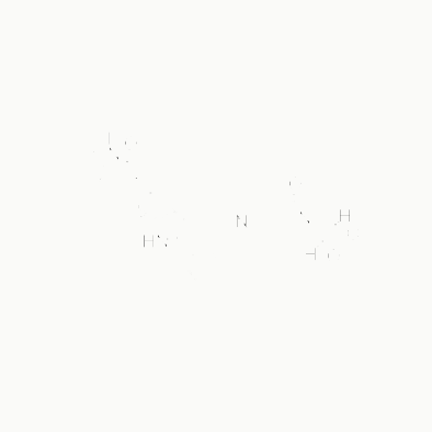 Cc1cc(C)cc(-c2[nH]c3sc(C(C)(C)C(=O)C4C5CCC4NC5)cc3c2CCN2CCC(C(=O)N3C[C@@H]4OCO[C@@H]4C3)CC2)c1